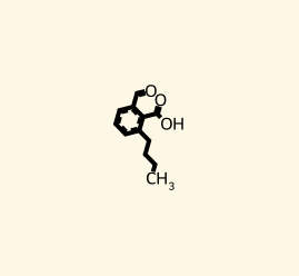 CCCCc1cccc(C=O)c1C(=O)O